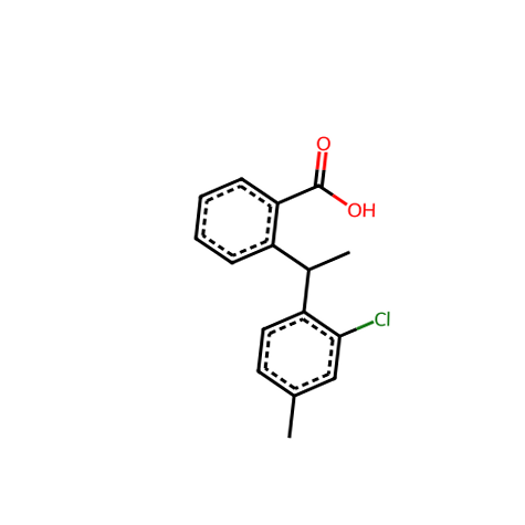 Cc1ccc(C(C)c2ccccc2C(=O)O)c(Cl)c1